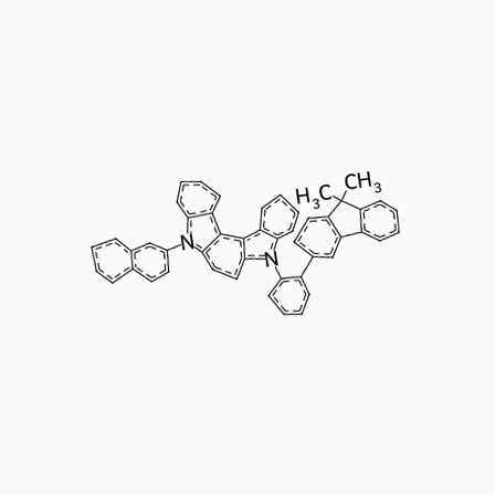 CC1(C)c2ccccc2-c2cc(-c3ccccc3-n3c4ccccc4c4c5c6ccccc6n(-c6ccc7ccccc7c6)c5ccc43)ccc21